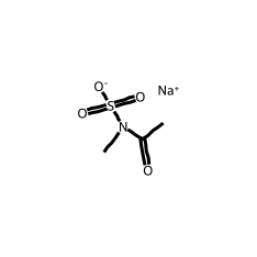 CC(=O)N(C)S(=O)(=O)[O-].[Na+]